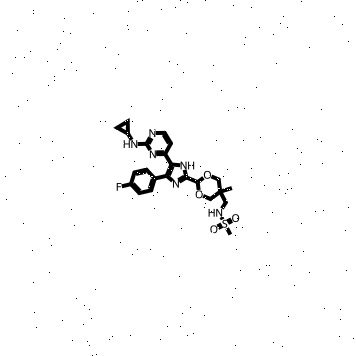 CC1(CNS(C)(=O)=O)COC(c2nc(-c3ccc(F)cc3)c(-c3ccnc(NC4CC4)n3)[nH]2)OC1